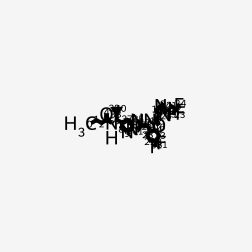 CCCC(=O)N[C@@H](c1cnn2cc([C@@H](NC(=O)c3cnn(CC(F)(F)F)n3)C3CCC(F)(F)CC3)nc2c1)C1CC1